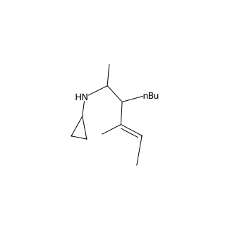 C/C=C(\C)C(CCCC)C(C)NC1CC1